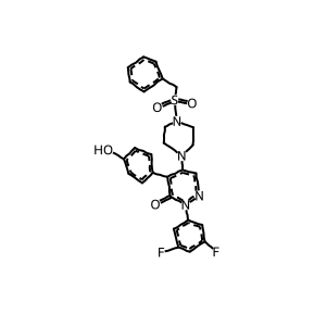 O=c1c(-c2ccc(O)cc2)c(N2CCN(S(=O)(=O)Cc3ccccc3)CC2)cnn1-c1cc(F)cc(F)c1